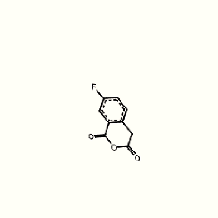 O=C1Cc2ccc(F)cc2C(=O)O1